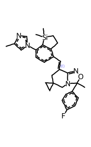 Cc1cn(-c2ccc(/C=C3\CC4(CC4)CN4C3=NOC4(C)c3ccc(F)cc3)c3c2[Si](C)(C)CC3)cn1